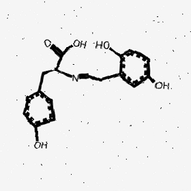 O=C(O)[C@H](Cc1ccc(O)cc1)N=CCc1cc(O)ccc1O